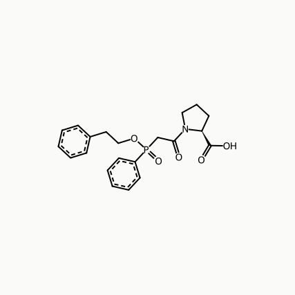 O=C(O)[C@@H]1CCCN1C(=O)CP(=O)(OCCc1ccccc1)c1ccccc1